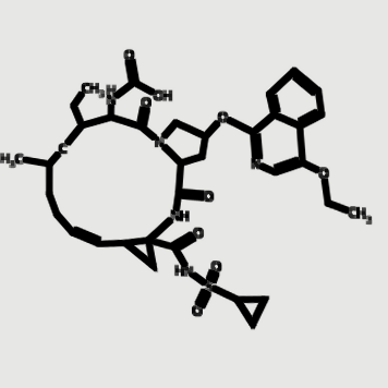 CCOc1cnc(OC2CC3C(=O)NC4(C(=O)NS(=O)(=O)C5CC5)CC4C=CCCC(C)CC(CC)C(NC(=O)O)C(=O)N3C2)c2ccccc12